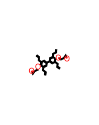 C=CCc1cc(-c2cc(CC=C)c(OCC3CO3)c(CC=C)c2)cc(CC=C)c1OCC1CO1